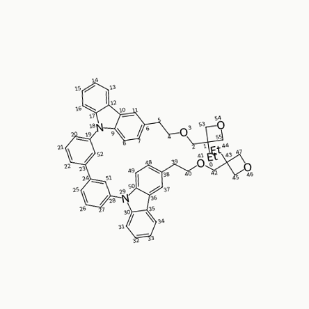 CCC1(COCCc2ccc3c(c2)c2ccccc2n3-c2cccc(-c3cccc(-n4c5ccccc5c5cc(CCOCC6(CC)COC6)ccc54)c3)c2)COC1